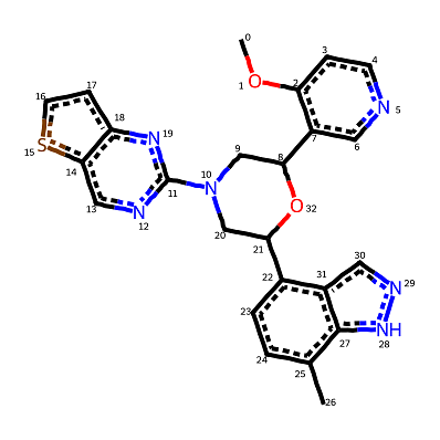 COc1ccncc1C1CN(c2ncc3sccc3n2)CC(c2ccc(C)c3[nH]ncc23)O1